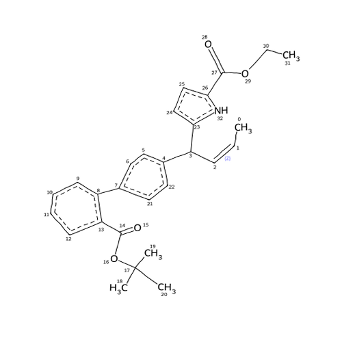 C/C=C\C(c1ccc(-c2ccccc2C(=O)OC(C)(C)C)cc1)c1ccc(C(=O)OCC)[nH]1